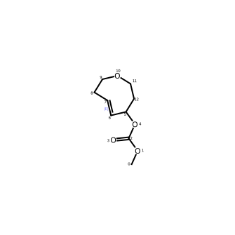 COC(=O)OC1/C=C/CCOCC1